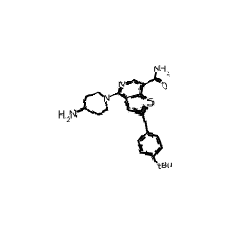 CC(C)(C)c1ccc(-c2cc3c(N4CCC(N)CC4)ncc(C(N)=O)c3s2)cc1